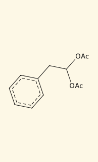 CC(=O)OC(Cc1ccccc1)OC(C)=O